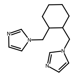 c1cn(CC2CCCCC2Cn2ccnc2)cn1